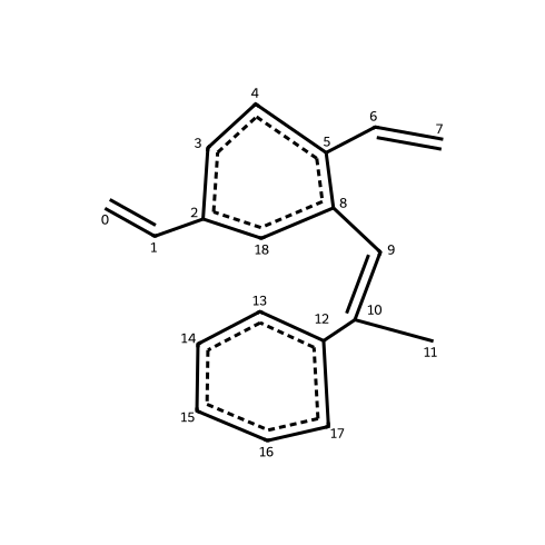 C=Cc1ccc(C=C)c(C=C(C)c2ccccc2)c1